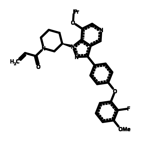 C=CC(=O)N1CCC[C@@H](n2nc(-c3ccc(Oc4cccc(OC)c4F)cc3)c3cncc(OC(C)C)c32)C1